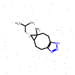 BC12CCc3[nH]nnc3CCC1[C@@H]2CC(C)C